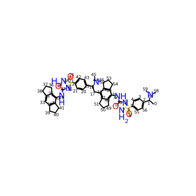 CC(c1ccc(S(N)(=O)=NC(=O)Nc2c3c(c(CC(c4ccc(S(N)(=O)=NC(=O)Nc5c6c(cc7c5CCC7)CCC6)cc4)N(C)C)c4c2CCC4)CCC3)cc1)N(C)C